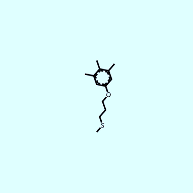 CSCCCOc1cc(C)c(C)c(C)c1